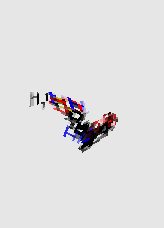 CNS(=O)(=O)c1ccc(-c2ccc(NC(=O)C3(c4ccc5c(c4)OCO5)CC3)cc2)cc1